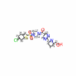 O=C(c1cnc(-c2cccc(CO)n2)nc1)N1CCN(S(=O)(=O)c2cc3ccc(Cl)cc3s2)CC1